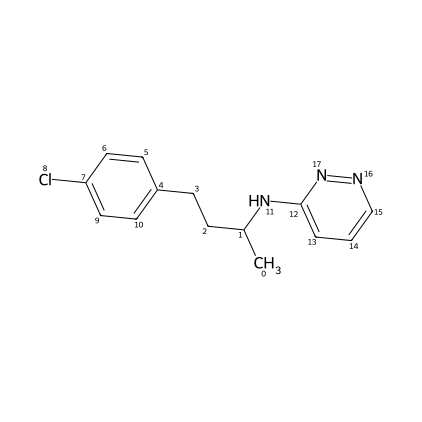 CC(CCc1ccc(Cl)cc1)Nc1cccnn1